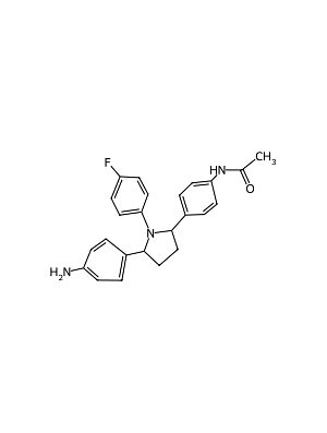 CC(=O)Nc1ccc(C2CCC(c3ccc(N)cc3)N2c2ccc(F)cc2)cc1